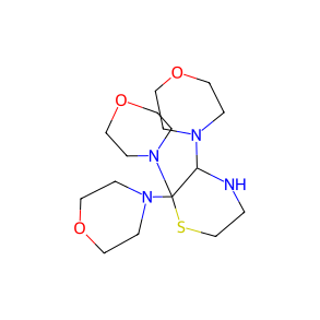 C1CSC(N2CCOCC2)(N2CCOCC2)C(N2CCOCC2)N1